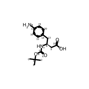 CC(C)(C)OC(=O)N[C@H](CC(=O)O)Cc1ccc(N)cc1